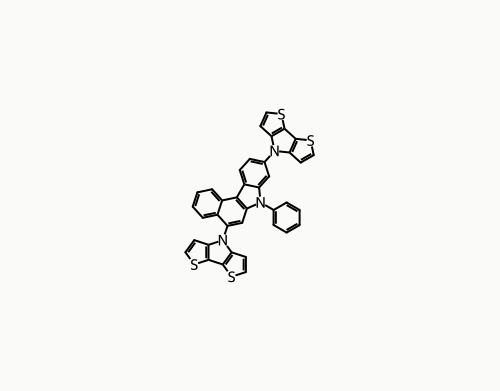 c1ccc(-n2c3cc(-n4c5ccsc5c5sccc54)ccc3c3c4ccccc4c(-n4c5ccsc5c5sccc54)cc32)cc1